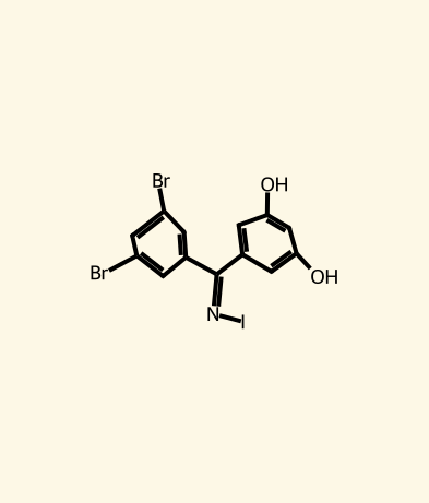 Oc1cc(O)cc(/C(=N\I)c2cc(Br)cc(Br)c2)c1